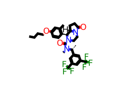 CCCCOc1ccc([C@H]2[C@@H]3CCC(=O)N3CCN2C(=O)N(C)[C@H](C)c2cc(C(F)(F)F)cc(C(F)(F)F)c2)c(C)c1